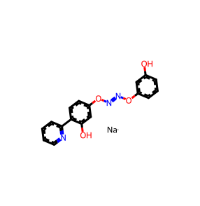 Oc1cccc(ON=NOc2ccc(-c3ccccn3)c(O)c2)c1.[Na]